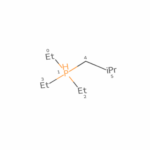 CC[PH](CC)(CC)CC(C)C